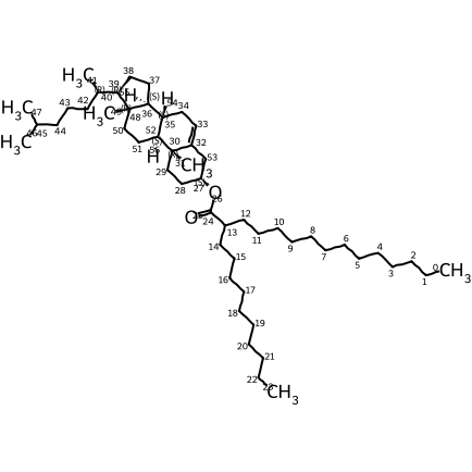 CCCCCCCCCCCCCC(CCCCCCCCCC)C(=O)O[C@H]1CC[C@@]2(C)C(=CC[C@H]3[C@@H]4CC[C@H]([C@H](C)CCCC(C)C)[C@@]4(C)CC[C@@H]32)C1